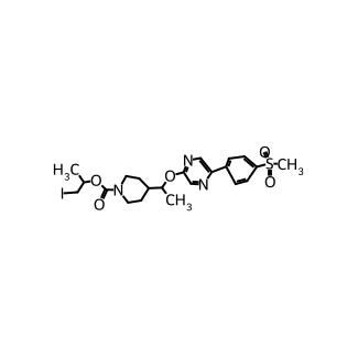 CC(CI)OC(=O)N1CCC(C(C)Oc2cnc(-c3ccc(S(C)(=O)=O)cc3)cn2)CC1